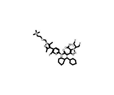 Cc1nn(COCC[Si](C)(C)C)c(C)c1-c1ccc(NC(=O)[C@H](c2nnn(C(CF)CF)c2C(N)=O)C(C2CCCCC2)C2CCCCC2)nc1F